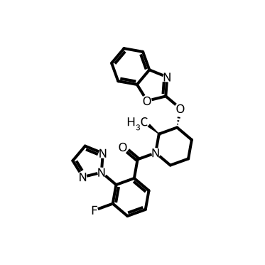 C[C@H]1[C@H](Oc2nc3ccccc3o2)CCCN1C(=O)c1cccc(F)c1-n1nccn1